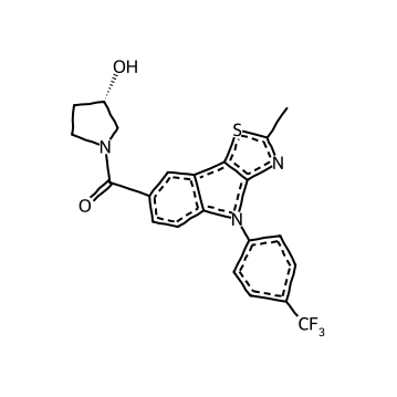 Cc1nc2c(s1)c1cc(C(=O)N3CC[C@H](O)C3)ccc1n2-c1ccc(C(F)(F)F)cc1